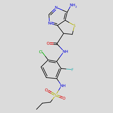 CCCS(=O)(=O)Nc1ccc(Cl)c(NC(=O)C2CSc3c(N)ncnc32)c1F